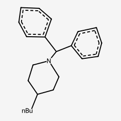 [CH2]CCCC1CCN(C(c2ccccc2)c2ccccc2)CC1